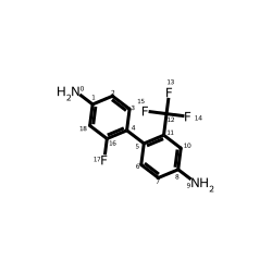 Nc1ccc(-c2ccc(N)cc2C(F)(F)F)c(F)c1